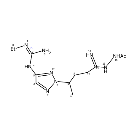 CC/N=C(/N)Nc1cnn(C(C)CCC(=N)NNC(C)=O)n1